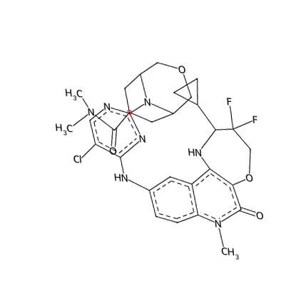 CN(C)C(=O)C1CC2COCC(C1)N2c1ncc(Cl)c(Nc2ccc3c(c2)c2c(c(=O)n3C)OCC(F)(F)C(C3CC3)N2)n1